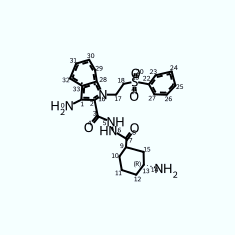 Nc1c(C(=O)NNC(=O)C2CCC[C@@H](N)C2)n(CCS(=O)(=O)c2ccccc2)c2ccccc12